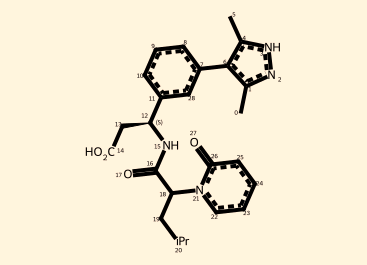 Cc1n[nH]c(C)c1-c1cccc([C@H](CC(=O)O)NC(=O)C(CC(C)C)n2ccccc2=O)c1